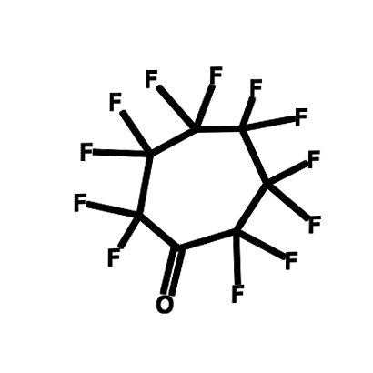 O=C1C(F)(F)C(F)(F)C(F)(F)C(F)(F)C(F)(F)C1(F)F